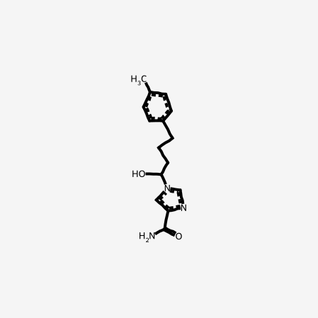 Cc1ccc(CCCC(O)n2cnc(C(N)=O)c2)cc1